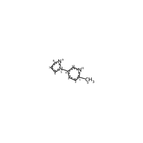 Cc1ccc(-n2cc[c]n2)cn1